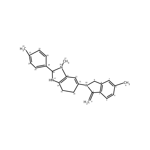 C=C1c2ccc(C)cc2CN1C1=CC2=C(CC1)NC(c1ccc(C)cc1)N2C